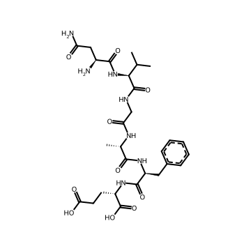 CC(C)[C@H](NC(=O)[C@@H](N)CC(N)=O)C(=O)NCC(=O)N[C@@H](C)C(=O)N[C@@H](Cc1ccccc1)C(=O)N[C@@H](CCC(=O)O)C(=O)O